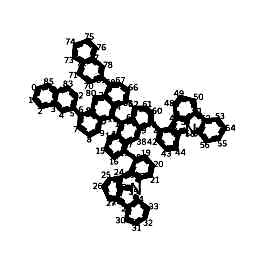 c1ccc2cc(-c3cccc4c(-c5c6cccc(-c7cccc8c7c7cccc9c%10ccccc%10n8c97)c6cc6c(-c7cccc8c7c7cccc9c%10ccccc%10n8c97)cccc56)c5cccc(-c6ccc7ccccc7c6)c5cc34)ccc2c1